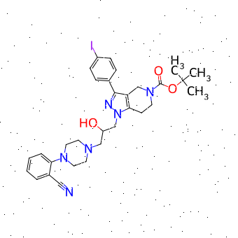 CC(C)(C)OC(=O)N1CCc2c(c(-c3ccc(I)cc3)nn2CC(O)CN2CCN(c3ccccc3C#N)CC2)C1